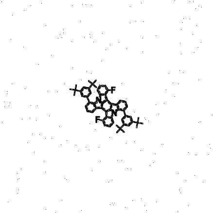 CC(C)(C)c1cc(-c2cccc3c4c5c6c(F)cccc6n6c7c(-c8cc(C(C)(C)C)cc(C(C)(C)C)c8)cccc7c(c7c8c(F)cccc8n(c23)c47)c56)cc(C(C)(C)C)c1